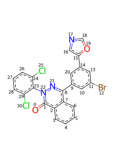 O=c1c2ccccc2c(-c2cc(Br)cc(-c3cnco3)c2)nn1-c1c(Cl)cccc1Cl